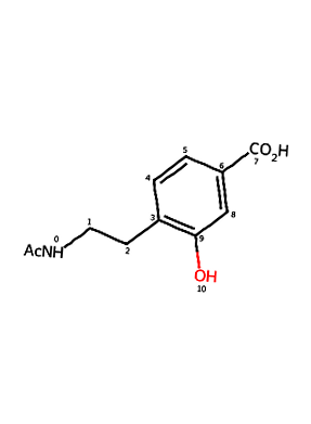 CC(=O)NCCc1ccc(C(=O)O)cc1O